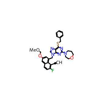 C#Cc1c(F)ccc2cc(OCOC)cc(Cn3cnc4c(SCc5ccccc5)nc(N5CCCOCC5)nc43)c12